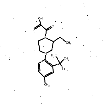 CCC1CN(c2ccc(C)cc2C(C)(C)C)CCN1C(=O)C(=O)O